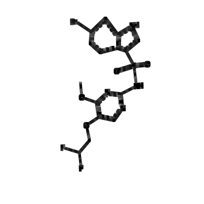 COc1nc(NS(=O)(=O)c2c[nH]c3cc(Br)ccc23)ncc1OCC(F)F